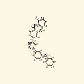 Cc1nccc(Nc2cccc(-c3cn(-c4cccc(Nc5ccccc5)c4)nn3)c2)c1Cl